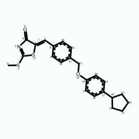 CSC1=NC(=O)/C(=C/c2ccc(COc3ccc(C4CCCC4)cc3)cc2)S1